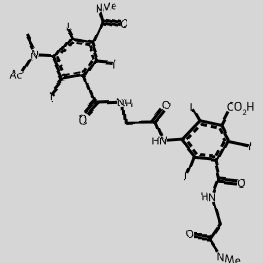 CNC(=O)CNC(=O)c1c(I)c(NC(=O)CNC(=O)c2c(I)c(C(=O)NC)c(I)c(N(C)C(C)=O)c2I)c(I)c(C(=O)O)c1I